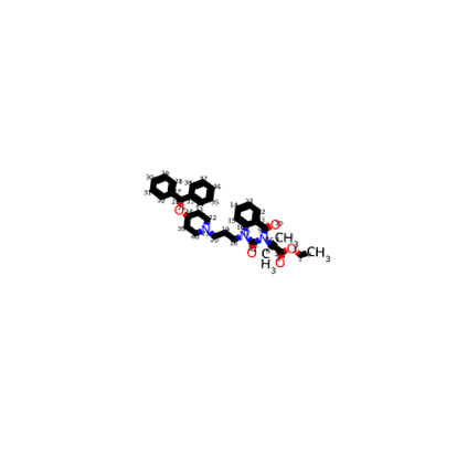 CCOC(=O)C(C)(C)n1c(=O)c2ccccc2n(CCCN2CCC(OC(c3ccccc3)c3ccccc3)CC2)c1=O